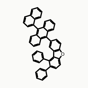 c1ccc(-c2ccc3oc4ccc(-c5c6ccccc6c(-c6cccc7ccccc67)c6ccccc56)cc4c3c2-c2ccccc2)cc1